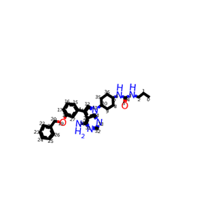 CCCNC(=O)NC1CCC(n2cc(-c3cccc(OCc4ccccc4)c3)c3c(N)ncnc32)CC1